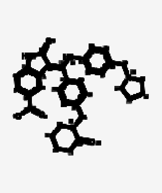 O=C1Nc2ccc([N+](=O)[O-])cc2/C1=C(/Nc1ccc(CN2CCCC2)cc1)c1ccc(CN2CCCCC2=O)cc1